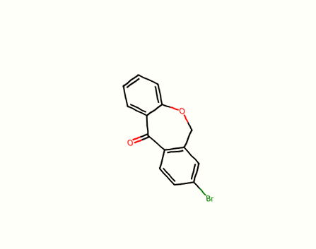 O=C1c2ccc(Br)cc2COc2ccccc21